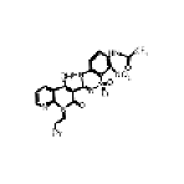 CC(C)CCn1c(=O)c(C2=NS(=O)(=O)c3c(ccc(NC(=O)C(F)(F)F)c3[N+](=O)[O-])N2)c(O)c2cccnc21